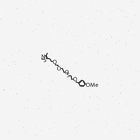 COc1ccc(COCCSOCCOCCOCCc2scnc2C)cc1